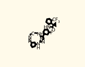 O=C(Nc1ccc(-c2cnc3nc2NCCCNSc2cccc(c2)N3)cc1F)C1(c2ccccc2C(F)(F)F)CC1